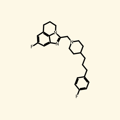 Fc1ccc(CCCC2CCN(Cc3nc4cc(F)cc5c4n3CCC5)CC2)cc1